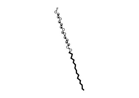 CCCCCCCCCCCCCCCCOOOOOOOOOOOOOOOOF